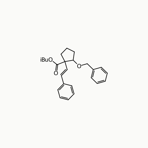 CC(C)COC(=O)C1(C=Cc2ccccc2)CCCC1OCc1ccccc1